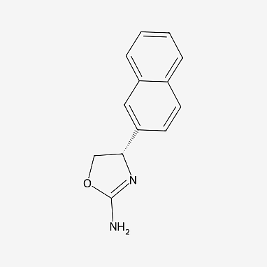 NC1=N[C@@H](c2ccc3ccccc3c2)CO1